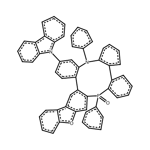 O=P1(c2ccccc2)c2ccccc2-c2ccccc2N(c2ccccc2)c2cc(-n3c4ccccc4c4ccccc43)ccc2-c2cc3c(cc21)oc1ccccc13